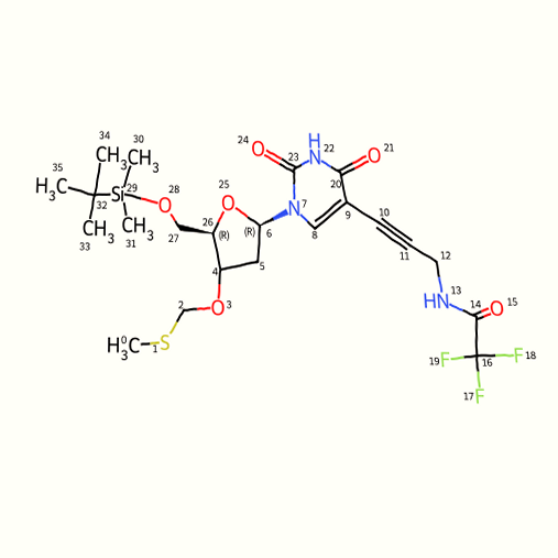 CSCOC1C[C@H](n2cc(C#CCNC(=O)C(F)(F)F)c(=O)[nH]c2=O)O[C@@H]1CO[Si](C)(C)C(C)(C)C